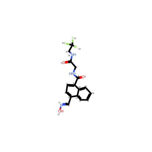 O=C(CNC(=O)c1ccc(C=NO)c2ccccc12)NCC(F)(F)F